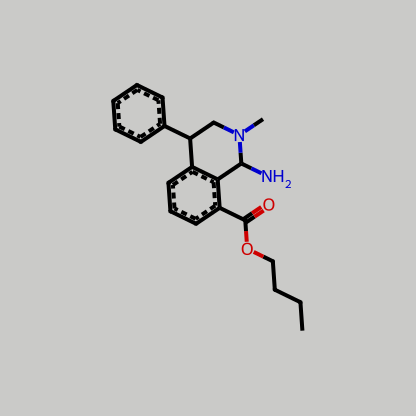 CCCCOC(=O)c1cccc2c1C(N)N(C)CC2c1ccccc1